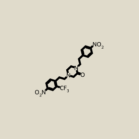 O=C1CN(CCc2ccc([N+](=O)[O-])cc2C(F)(F)F)CCN1CCc1ccc([N+](=O)[O-])cc1